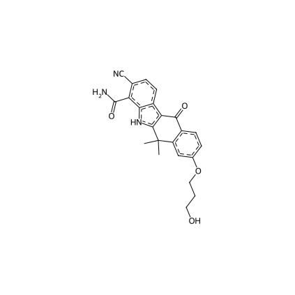 CC1(C)c2cc(OCCCO)ccc2C(=O)c2c1[nH]c1c(C(N)=O)c(C#N)ccc21